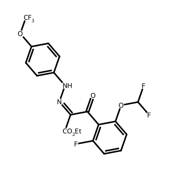 CCOC(=O)C(=NNc1ccc(OC(F)(F)F)cc1)C(=O)c1c(F)cccc1OC(F)F